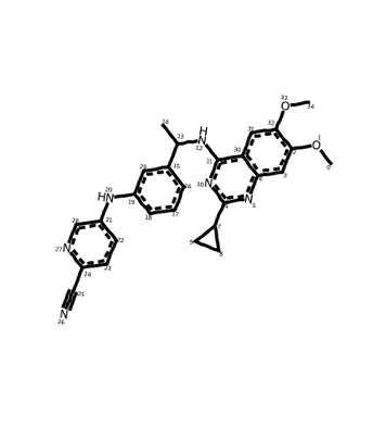 COc1cc2nc(C3CC3)nc(NC(C)c3cccc(Nc4ccc(C#N)nc4)c3)c2cc1OC